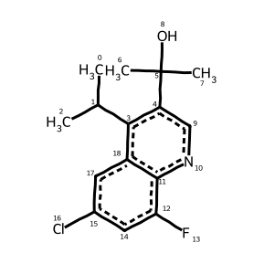 CC(C)c1c(C(C)(C)O)cnc2c(F)cc(Cl)cc12